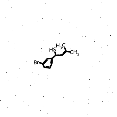 CC(C)=CC(S)c1cccc(Br)c1